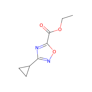 CCOC(=O)c1nc(C2CC2)no1